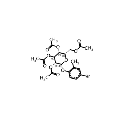 CC(=O)OC[C@@H]1O[C@H](Oc2ccc(Br)cc2C)[C@H](OC(C)=O)[C@@H](OC(C)=O)[C@@H]1OC(C)=O